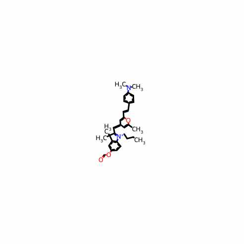 CCCC[N+]1=C(/C=C2\C=C(C)OC(/C=C/c3ccc(N(C)C)cc3)=C2)C(C)(C)c2cc(OC=O)ccc21